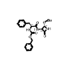 CCC(C)O[C@@H]1NC(=O)[C@H]1NC(=O)[C@H](Cc1ccccc1)NC(=O)OCc1ccccc1